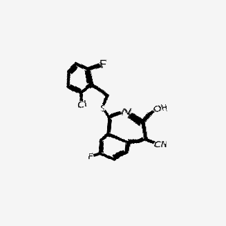 N#Cc1c(O)nc(SCc2c(F)cccc2Cl)c2cc(F)ccc12